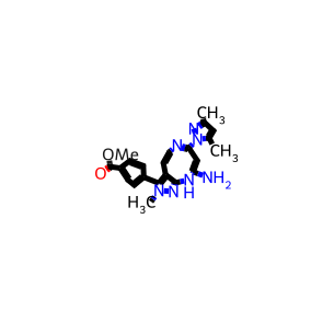 COC(=O)c1ccc(-c2c3ccnc(-n4nc(C)cc4C)cc(N)[nH]c3nn2C)cc1